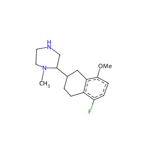 COc1ccc(F)c2c1CC(C1CNCCN1C)CC2